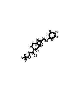 CC(C)(C)OCC(=O)N1CCc2nc(COc3ccccc3)oc2C1